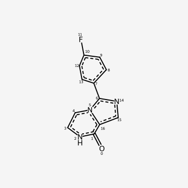 O=c1[nH]ccn2c(-c3ccc(F)cc3)ncc12